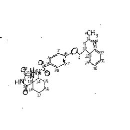 Cc1cc(COc2ccc(S(=O)(=O)NC3CCCCC34NC(=O)NC4=O)cc2)c2ccccc2n1